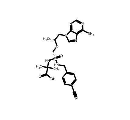 C[C@H](Cn1cnc2c(N)ncnc21)OC[P@](=O)(NCc1ccc(C#N)cc1)NC(C)(C)C(=O)O